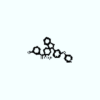 O=C(O)C1(Nc2cccc(Cl)c2)CCC2(CC1)c1ccccc1CC2c1cccc(Oc2ccncc2)c1